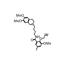 COc1cc2c(cc1OC)CN(CCCCNC(=O)c1cc(I)cc(OC)c1OCC[18F])CC2